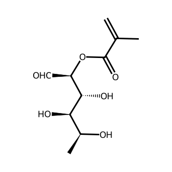 C=C(C)C(=O)O[C@H](C=O)[C@H](O)[C@H](O)[C@H](C)O